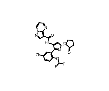 O=C(Nc1cn([C@@H]2CCCC2=O)nc1-c1cc(Cl)ccc1OC(F)F)c1cnn2cccnc12